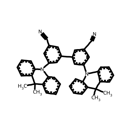 CC1(C)c2ccccc2N(c2cc(C#N)cc(-c3cc(C#N)cc(N4c5ccccc5C(C)(C)c5ccccc54)c3)c2)c2ccccc21